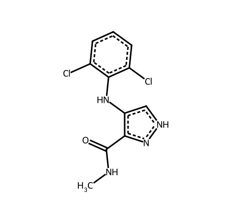 CNC(=O)c1n[nH]cc1Nc1c(Cl)cccc1Cl